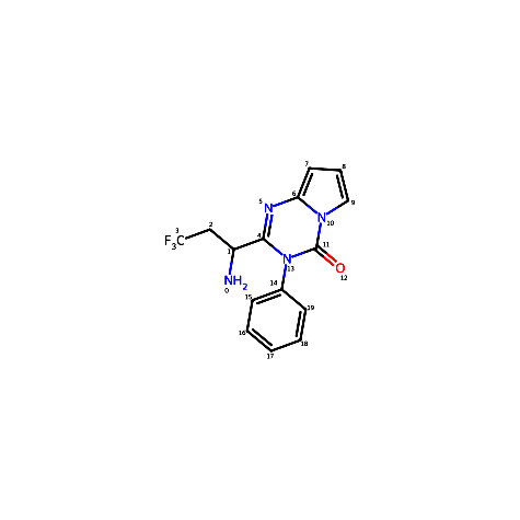 NC(CC(F)(F)F)c1nc2cccn2c(=O)n1-c1ccccc1